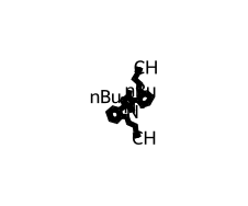 C#CCCCc1ccccc1C1=C(CCCC)C(CCCC)=C(c2ccccc2CCCC#C)[N+]1=[N-]